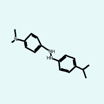 CC(C)c1ccc(NNc2ccc(N(C)C)cc2)cc1